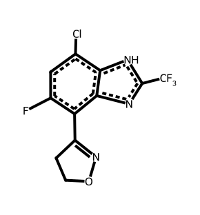 Fc1cc(Cl)c2[nH]c(C(F)(F)F)nc2c1C1=NOCC1